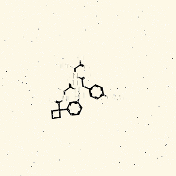 COc1ccc([C@H](NC(=O)[C@H](C)NC(=O)C2(c3cccc(Cl)c3)CCC2)C(=O)N[C@H](C(=O)C(F)(F)F)C(C)C)cc1